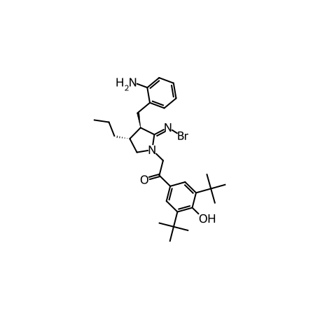 CCC[C@H]1CN(CC(=O)c2cc(C(C)(C)C)c(O)c(C(C)(C)C)c2)/C(=N\Br)[C@@H]1Cc1ccccc1N